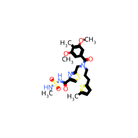 CNS(=O)(=O)NC(=O)c1csc(CN(CCCc2ccc(C)s2)C(=O)c2cc(OC)c(C)c(OC)c2)n1